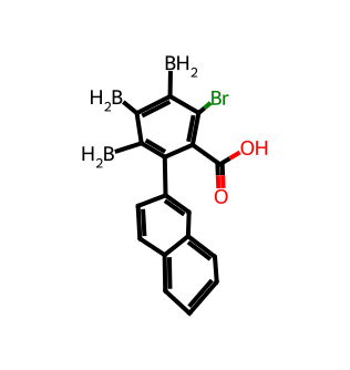 Bc1c(B)c(Br)c(C(=O)O)c(-c2ccc3ccccc3c2)c1B